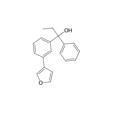 CCC(O)(c1ccccc1)c1cccc(-c2ccoc2)c1